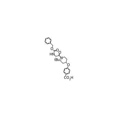 CC(C)(C)[C@H](NC(=O)OCc1ccccc1)C(=O)N1CCC(Oc2ccc(C(=O)O)cc2)CC1